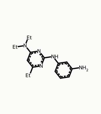 CCc1cc(N(CC)CC)nc(Nc2cccc(N)c2)n1